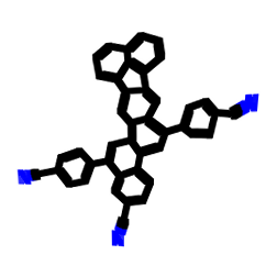 N#Cc1ccc(-c2cc3c4cc5c(cc4c(-c4ccc(C#N)cc4)cc3c3ccc(C#N)cc23)-c2cccc3cccc-5c23)cc1